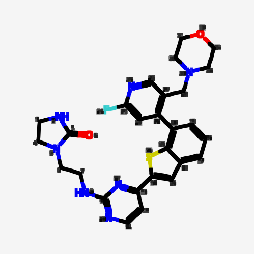 O=C1NCCN1CCNc1nccc(-c2cc3cccc(-c4cc(F)ncc4CN4CCOCC4)c3s2)n1